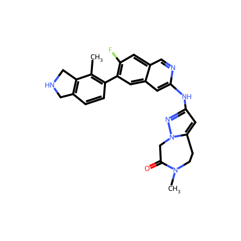 Cc1c(-c2cc3cc(Nc4cc5n(n4)CC(=O)N(C)CC5)ncc3cc2F)ccc2c1CNC2